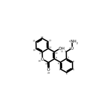 NOCc1ccccc1-c1c(O)c2ccccc2oc1=O